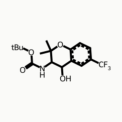 CC(C)(C)OC(=O)NC1C(O)c2cc(C(F)(F)F)ccc2OC1(C)C